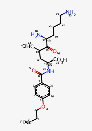 CCCCCCCCCCCCOc1ccc(C(=O)N[C@@H](CC([C]=O)C(=O)[C@@H](N)CCCCN)C(=O)O)cc1